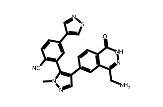 Cn1ncc(-c2ccc3c(=O)[nH]nc(CN)c3c2)c1-c1cc(-c2cnsc2)ccc1C#N